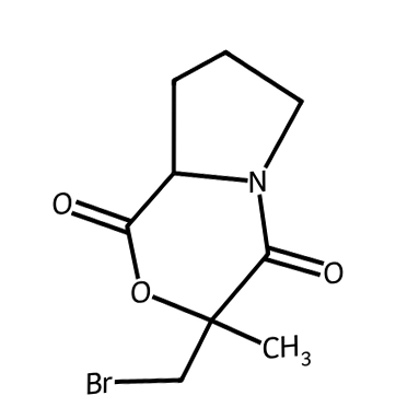 CC1(CBr)OC(=O)C2CCCN2C1=O